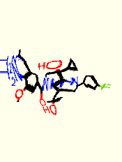 COc1cc(C(=O)NCC(O)(c2cc(C(C)(C)O)cc(-c3ccc(F)cc3)n2)C2CC2)cc(/C=C(/C)N)c1N